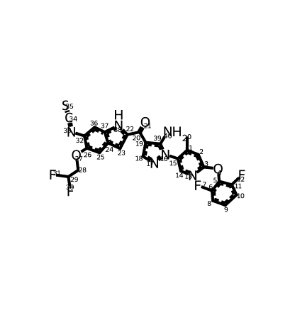 Cc1cc(Oc2c(F)cccc2F)ncc1-n1ncc(C(=O)c2cc3cc(OCC(F)F)c(N=C=S)cc3[nH]2)c1N